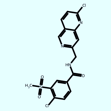 CS(=O)(=O)c1cc(C(=O)NCc2cc3nc(Cl)ccc3cn2)ccc1Cl